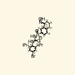 CC(C)c1cc(Br)cc(C(C)C)c1NC(=O)NS(=O)(=O)c1ccc2c(c1)C(=NO)CCC2